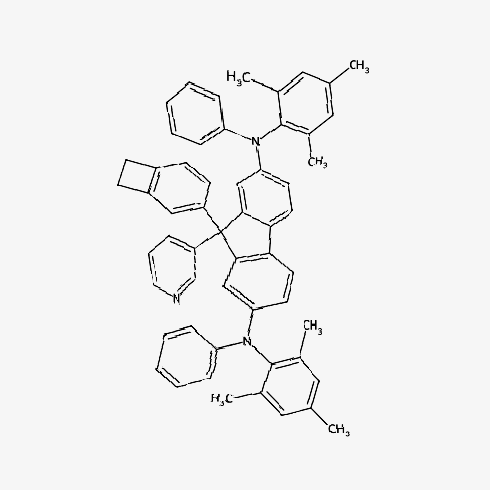 Cc1cc(C)c(N(c2ccccc2)c2ccc3c(c2)C(c2cccnc2)(c2ccc4c(c2)CC4)c2cc(N(c4ccccc4)c4c(C)cc(C)cc4C)ccc2-3)c(C)c1